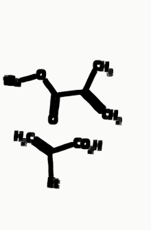 C=C(C)C(=O)OC(C)(C)C.C=C(CC)C(=O)O